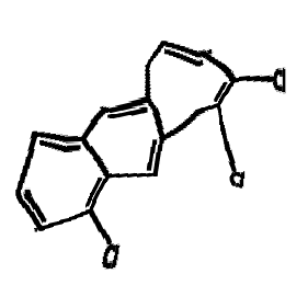 Clc1[c]cc2cc3cc[c]c(Cl)c3cc2c1Cl